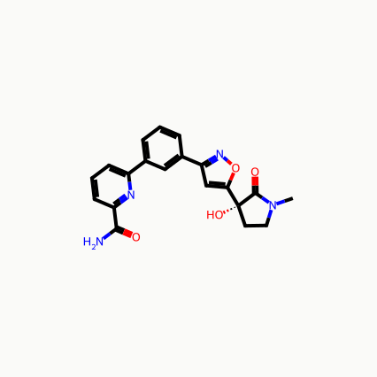 CN1CC[C@@](O)(c2cc(-c3cccc(-c4cccc(C(N)=O)n4)c3)no2)C1=O